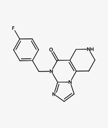 O=c1c2c(n3ccnc3n1Cc1ccc(F)cc1)CCNC2